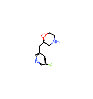 Fc1cncc(CC2CNCCO2)c1